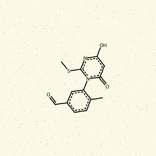 CSc1nc(O)cc(=O)n1-c1cc(C=O)ccc1C